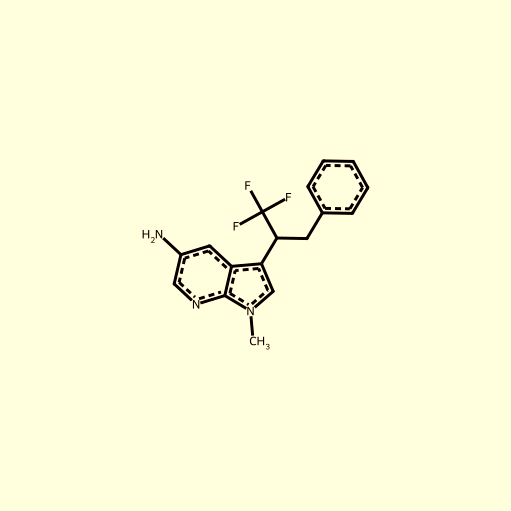 Cn1cc(C(Cc2ccccc2)C(F)(F)F)c2cc(N)cnc21